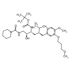 COCCCOc1cc(C[C@@H](C[C@H](NC(=O)OC(C)(C)C)[C@@H](O)CNC(=O)N2CCCCC2)C(C)C)ccc1OC